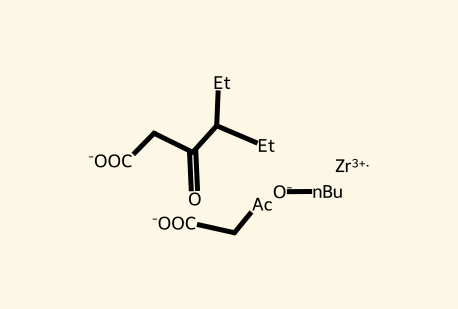 CC(=O)CC(=O)[O-].CCC(CC)C(=O)CC(=O)[O-].CCCC[O-].[Zr+3]